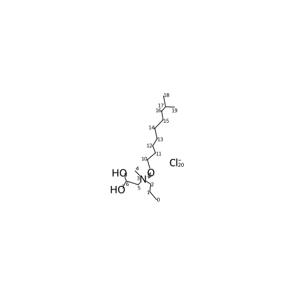 CCC[N+](C)(CC(O)O)OCCCCCCCC(C)C.[Cl-]